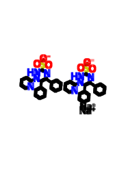 O=S(=O)([O-])C1=NC(c2ccccc2)=C(c2ccccc2)N(c2ccccn2)N1.O=S(=O)([O-])C1=NC(c2ccccc2)=C(c2ccccc2)N(c2ccccn2)N1.[Na+].[Na+]